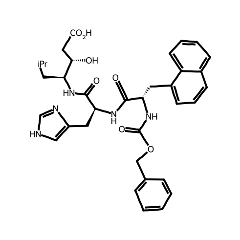 CC(C)C[C@H](NC(=O)[C@H](Cc1c[nH]cn1)NC(=O)[C@H](Cc1cccc2ccccc12)NC(=O)OCc1ccccc1)[C@@H](O)CC(=O)O